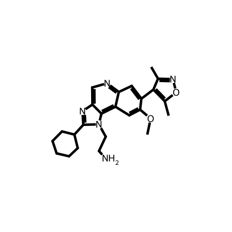 COc1cc2c(cc1-c1c(C)noc1C)ncc1nc(C3CCCCC3)n(CCN)c12